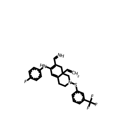 C=CC12CC(C=N)=C(Nc3ccc(F)cc3)C=C1CCN(Sc1cccc(C(F)(F)F)c1)C2